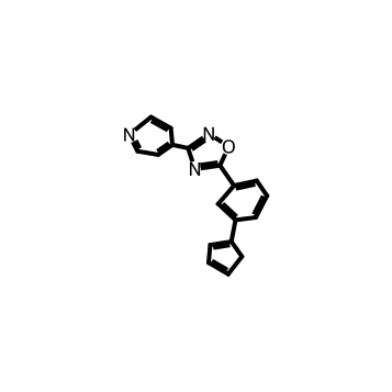 C1=CCC(c2cccc(-c3nc(-c4ccncc4)no3)c2)=C1